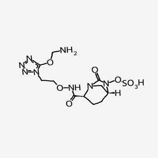 NCOc1nnnn1CCONC(=O)[C@@H]1CC[C@@H]2CN1C(=O)N2OS(=O)(=O)O